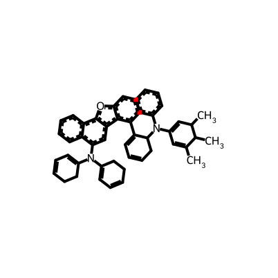 CC1=CC(N(c2ccccc2)C2CC=CC=C2c2cccc3oc4c5ccccc5c(N(C5=CC=CCC5)C5=CC=CCC5)cc4c23)=CC(C)C1C